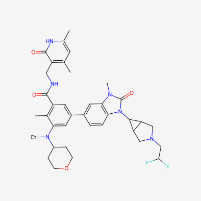 CCN(c1cc(-c2ccc3c(c2)n(C)c(=O)n3C2C3CN(CC(F)F)CC32)cc(C(=O)NCc2c(C)cc(C)[nH]c2=O)c1C)C1CCOCC1